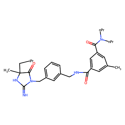 CCCN(CCC)C(=O)c1cc(C)cc(C(=O)NCc2cccc(CN3C(=N)NC(C)(CC(C)C)C3=O)c2)c1